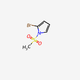 CS(=O)(=O)n1cccc1Br